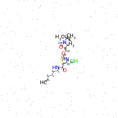 C#CCCCCNC(=O)c1cnc(O/C=C2/CN(C(C)(C)C)CO2)s1.Cl